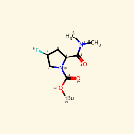 CN(C)C(=O)[C@@H]1C[C@H](F)CN1C(=O)OC(C)(C)C